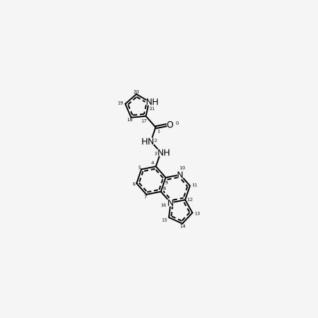 O=C(NNc1cccc2c1ncc1cccn12)c1ccc[nH]1